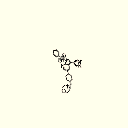 Cn1cc(-c2cn(S(=O)(=O)c3ccccc3)c3ncc(C4CCC(CN5CCOCC5)CC4)cc23)cn1